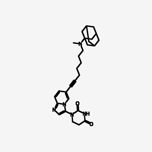 CN(CCCCCC#Cc1ccc2ncc(N3CCC(=O)NC3=O)n2c1)C12CC3CC(CC(C3)C1)C2